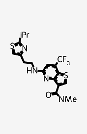 CNC(=O)c1csc2c(C(F)(F)F)cc(NCCc3csc(C(C)C)n3)nc12